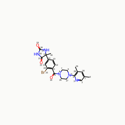 Cc1cnc(N2CCN(C(=O)c3ccc(C4(C)NC(=O)NC4=O)cc3Br)CC2)c(C)c1